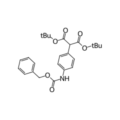 CC(C)(C)OC(=O)C(C(=O)OC(C)(C)C)c1ccc(NC(=O)OCc2ccccc2)cc1